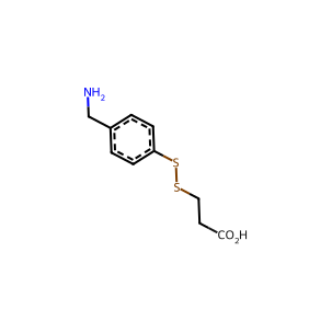 NCc1ccc(SSCCC(=O)O)cc1